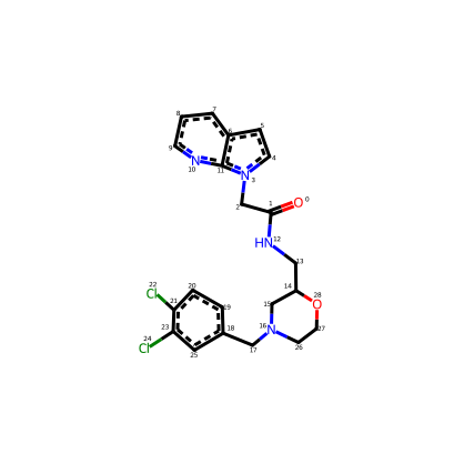 O=C(Cn1ccc2cccnc21)NCC1CN(Cc2ccc(Cl)c(Cl)c2)CCO1